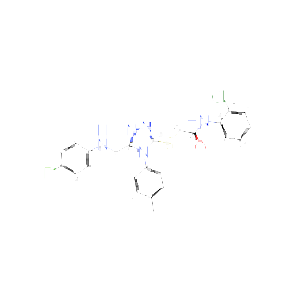 Cc1ccc(-n2c(CNc3ccc(F)cc3)nnc2SCC(=O)Nc2ccccc2Cl)cc1